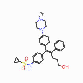 CC(C)N1CCN(C2=CC=C(/C(=C(/CCCO)c3ccccc3)c3ccc(NS(=O)(=O)C4CC4)cc3)CC2)CC1